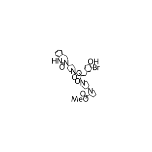 COC(=O)C1CCCN1C1CCN(C(=O)C(Cc2ccc(O)c(Br)c2)OC(=O)N2CCC(N3CCc4ccccc4NC3=O)CC2)CC1